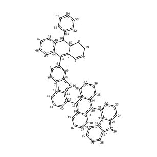 C1=CC2=C(c3ccc4c(c3)sc3c(-c5c6ccccc6c(-c6cccc7sc8ccccc8c67)c6ccccc56)cccc34)c3ccccc3C(c3ccccc3)C2CC1